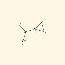 C[C](O)N1CC1